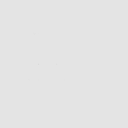 COc1ccc2c(c1)C1(C)C=CC(=O)C(C)(C)C1=C(OP(C)(=O)OCc1ccccc1)C2=O